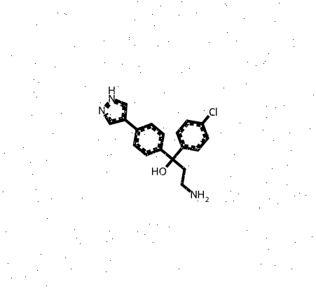 NCCC(O)(c1ccc(Cl)cc1)c1ccc(-c2cn[nH]c2)cc1